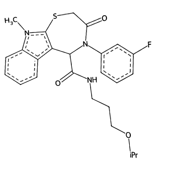 CC(C)OCCCNC(=O)C1c2c(n(C)c3ccccc23)SCC(=O)N1c1cccc(F)c1